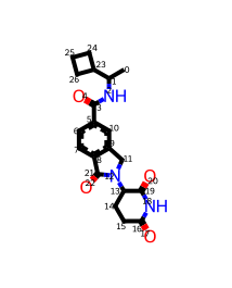 CC(NC(=O)c1ccc2c(c1)CN(C1CCC(=O)NC1=O)C2=O)C1CCC1